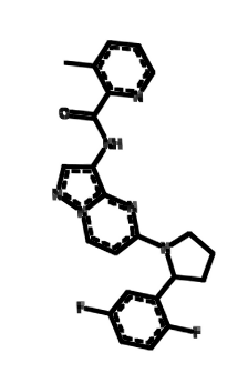 Cc1cccnc1C(=O)Nc1cnn2ccc(N3CCCC3c3cc(F)ccc3F)nc12